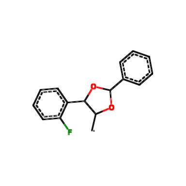 [CH2]C1OC(c2ccccc2)OC1c1ccccc1F